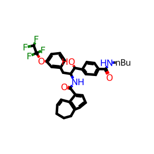 CCCCNC(=O)c1ccc(C(O)C(Cc2cccc(OC(F)(F)C(F)F)c2)NC(=O)c2cccc3c2C=CCCC3)cc1